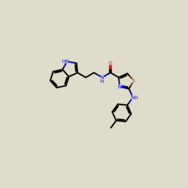 Cc1ccc(Nc2nc(C(=O)NCCc3c[nH]c4ccccc34)cs2)cc1